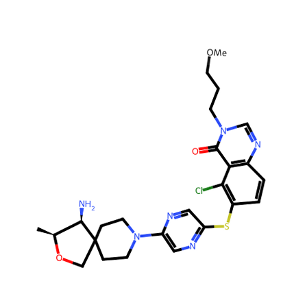 COCCCn1cnc2ccc(Sc3cnc(N4CCC5(CC4)CO[C@@H](C)[C@H]5N)cn3)c(Cl)c2c1=O